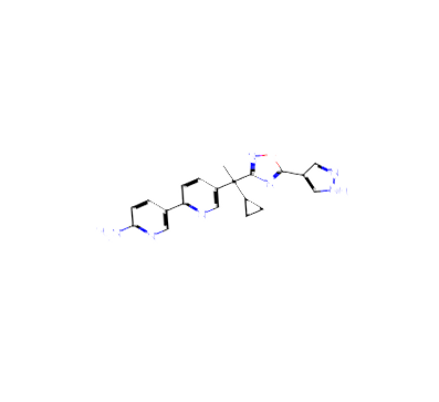 CC(c1ccc(-c2ccc(N)nc2)nc1)(c1noc(-c2cn[nH]c2)n1)C1CC1